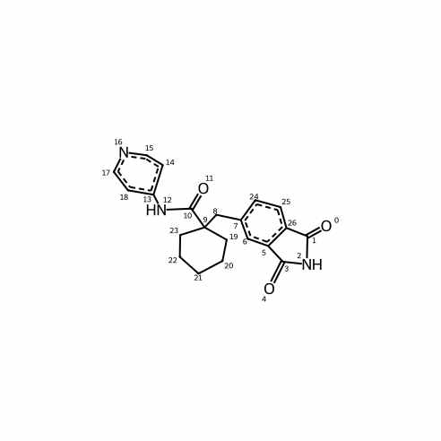 O=C1NC(=O)c2cc(CC3(C(=O)Nc4ccncc4)CCCCC3)ccc21